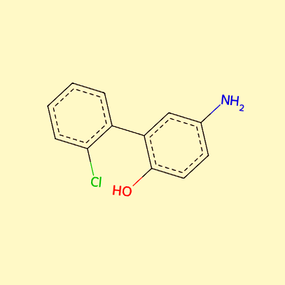 Nc1ccc(O)c(-c2ccccc2Cl)c1